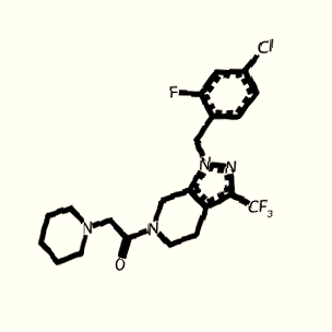 O=C(CN1CCCCC1)N1CCc2c(C(F)(F)F)nn(Cc3ccc(Cl)cc3F)c2C1